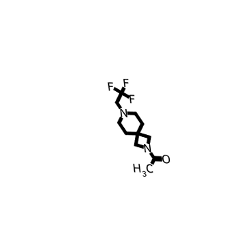 CC(=O)N1CC2(CCN(CC(F)(F)F)CC2)C1